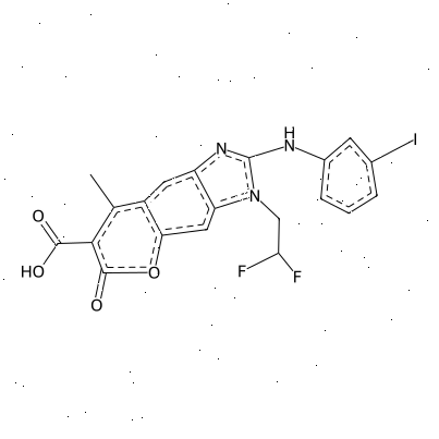 Cc1c(C(=O)O)c(=O)oc2cc3c(cc12)nc(Nc1cccc(I)c1)n3CC(F)F